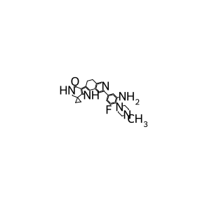 CN1CCN(c2c(N)cc(-c3cc4c(cn3)CCc3c-4[nH]c4c3C(=O)NCC43CC3)cc2F)CC1